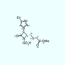 CCc1cn([C@@H]2C(=O)N(S(=O)(=O)O)[C@H]2CSCC(=O)OC)nn1